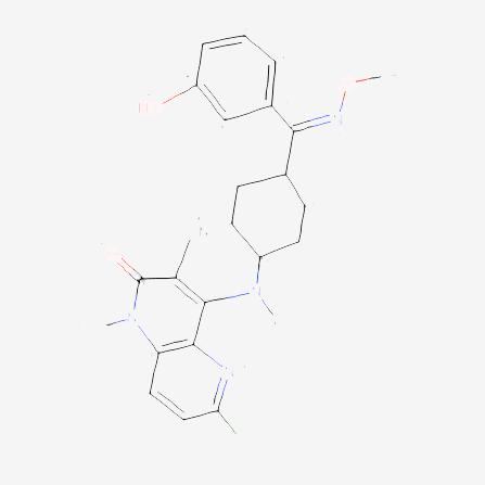 CN(c1c(C#N)c(=O)n(C)c2ccc(Cl)nc12)C1CCC(/C(=N/OC(C)(C)C)c2cccc(O)c2)CC1